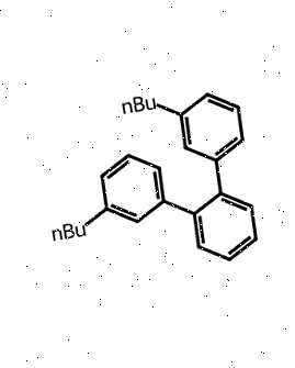 CCCCc1cccc(-c2ccccc2-c2cccc(CCCC)c2)c1